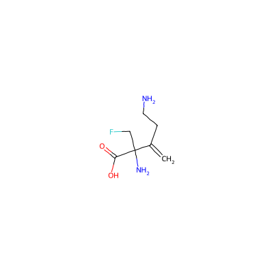 C=C(CCN)C(N)(CF)C(=O)O